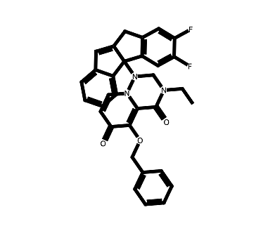 CCN1CN(C23C(=Cc4ccccc42)Cc2cc(F)c(F)cc23)n2ccc(=O)c(OCc3ccccc3)c2C1=O